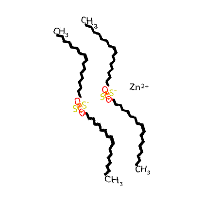 CCCCCCCC/C=C\CCCCCCCCOP(=S)([S-])OCCCCCCCC/C=C\CCCCCCCC.CCCCCCCC/C=C\CCCCCCCCOP(=S)([S-])OCCCCCCCC/C=C\CCCCCCCC.[Zn+2]